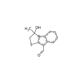 CC1(O)CSc2c(C=O)c3ccccc3n21